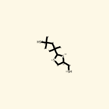 CC(C)(S)CC(C)(C)C1SCC(CS)S1